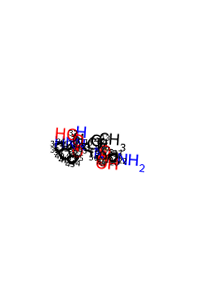 CC[C@@H](CCC[C@@H](CO)N(CCC(C)C)S(=O)(=O)c1ccc(N)cc1)NC(=O)C(NC(=O)O)C1c2ccccc2C=Cc2ccccc21